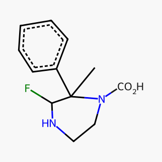 CC1(c2ccccc2)C(F)NCCN1C(=O)O